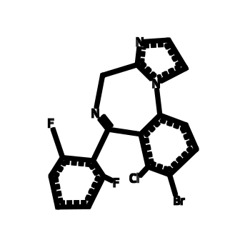 Fc1cccc(F)c1C1=NCc2nccn2-c2ccc(Br)c(Cl)c21